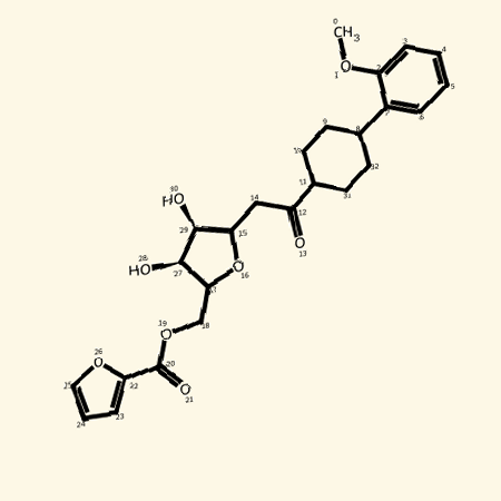 COc1ccccc1C1CCC(C(=O)CC2OC(COC(=O)c3ccco3)[C@@H](O)[C@H]2O)CC1